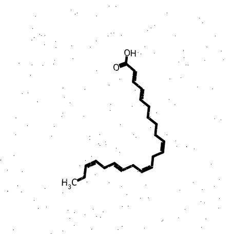 CC/C=C\C/C=C/C/C=C\C/C=C\CCCCC=CC=CC(=O)O